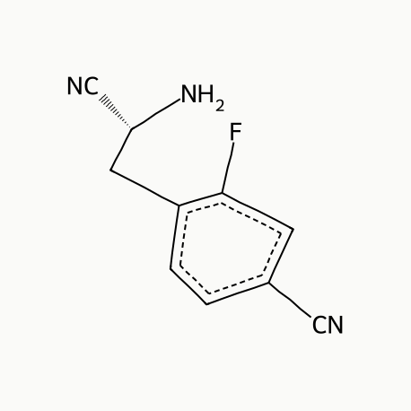 N#Cc1ccc(C[C@@H](N)C#N)c(F)c1